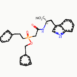 O=C(CP(=O)(CCc1ccccc1)OCc1ccccc1)N[C@@H](Cc1c[nH]c2ccccc12)C(=O)O